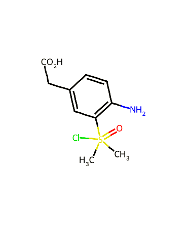 CS(C)(=O)(Cl)c1cc(CC(=O)O)ccc1N